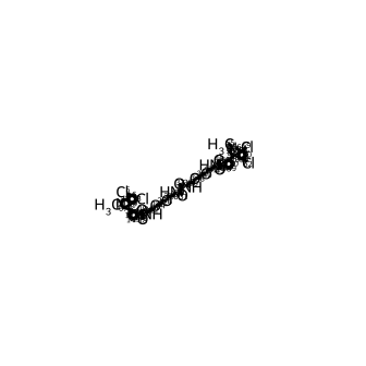 CN1Cc2c(Cl)cc(Cl)cc2C(c2cccc(S(=O)(=O)NCCOCCOCCNC(=O)C(=O)NCCOCCOCCNS(=O)(=O)c3cccc(C4CN(C)Cc5c(Cl)cc(Cl)cc54)c3)c2)C1